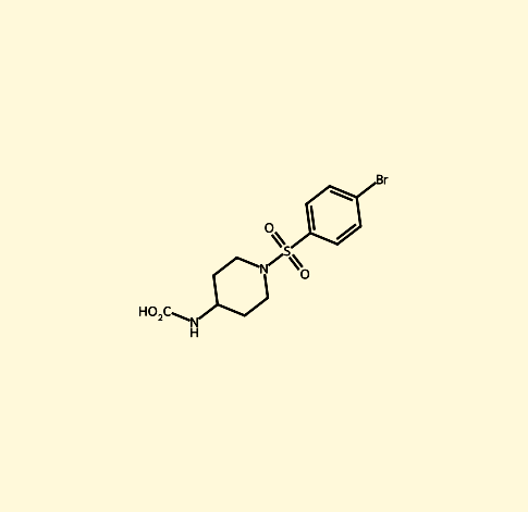 O=C(O)NC1CCN(S(=O)(=O)c2ccc(Br)cc2)CC1